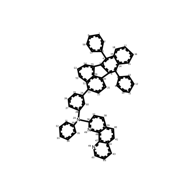 c1ccc(-c2c3c(c(-c4ccccc4)c4ccccc24)-c2ccc(-c4cccc(N(c5ccccc5)c5ccc6ccc7cccnc7c6n5)c4)c4cccc-3c24)cc1